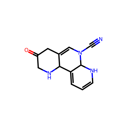 N#CN1C=C2CC(=O)CNC2C2=CC=CNC21